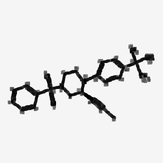 CC#C[C@H]1CN(S(=O)(=O)c2ccccc2)CCN1c1ccc(C(O)(C(F)(F)F)C(F)(F)F)cc1